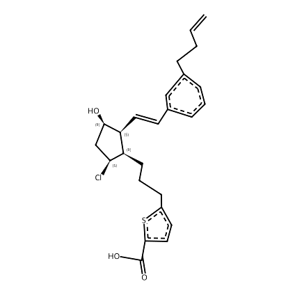 C=CCCc1cccc(C=C[C@H]2[C@@H](CCCc3ccc(C(=O)O)s3)[C@@H](Cl)C[C@H]2O)c1